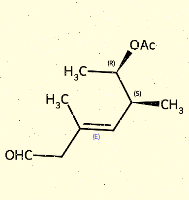 CC(=O)O[C@H](C)[C@@H](C)/C=C(\C)CC=O